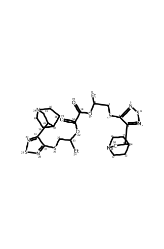 CCC(CSc1nsnc1C1CN2CCC1CC2)OC(=O)C(=O)OC(CC)CSc1nsnc1C1CN2CCC1CC2